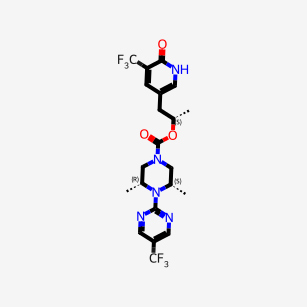 C[C@@H]1CN(C(=O)O[C@@H](C)Cc2c[nH]c(=O)c(C(F)(F)F)c2)C[C@H](C)N1c1ncc(C(F)(F)F)cn1